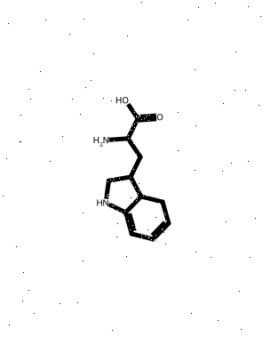 NC(CC1CNC2=CC=CCC21)C(=O)O